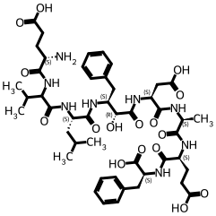 CC(C)C[C@H](NC(=O)C(NC(=O)[C@@H](N)CCC(=O)O)C(C)C)C(=O)N[C@@H](Cc1ccccc1)[C@@H](O)C(=O)N[C@@H](CC(=O)O)C(=O)N[C@@H](C)C(=O)N[C@@H](CCC(=O)O)C(=O)N[C@@H](Cc1ccccc1)C(=O)O